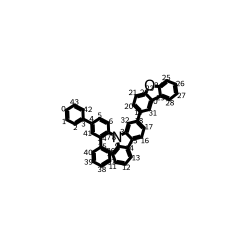 c1ccc(-c2ccc(-n3c4ccccc4c4ccc(-c5ccc6oc7ccccc7c6c5)cc43)c(-c3ccccc3)c2)cc1